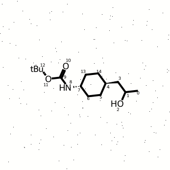 CC(O)C[C@H]1CC[C@H](NC(=O)OC(C)(C)C)CC1